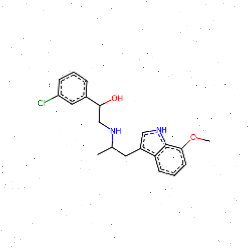 COc1cccc2c(CC(C)NCC(O)c3cccc(Cl)c3)c[nH]c12